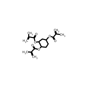 C=C(C)C(=O)OC1CCC(OC(=O)C(=C)C)C(OC(=O)C(=C)C)C1